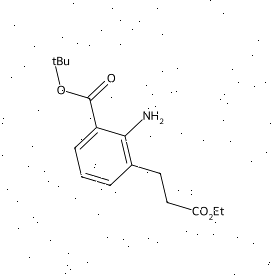 CCOC(=O)CCc1cccc(C(=O)OC(C)(C)C)c1N